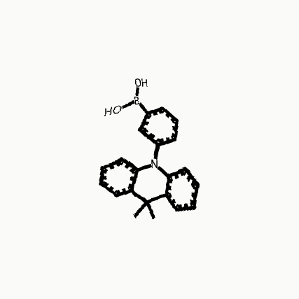 CC1(C)c2ccccc2N(c2cccc(B(O)O)c2)c2ccccc21